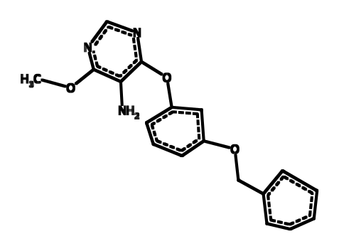 COc1ncnc(Oc2cccc(OCc3ccccc3)c2)c1N